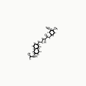 COc1ccc(CC(=O)NCC[CH]c2ccc3cc(NC(C)=O)ccc3c2)cc1OC